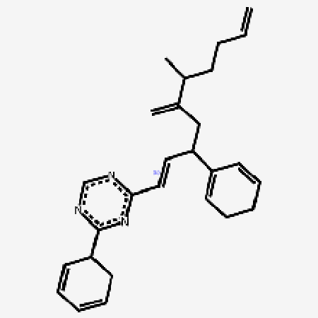 C=CCCC(C)C(=C)CC(/C=C/c1ncnc(C2C=CC=CC2)n1)C1=CCCC=C1